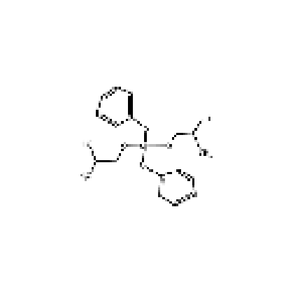 CC(C)CO[Si](OCC(C)C)(Oc1ccccc1)Oc1ccccc1